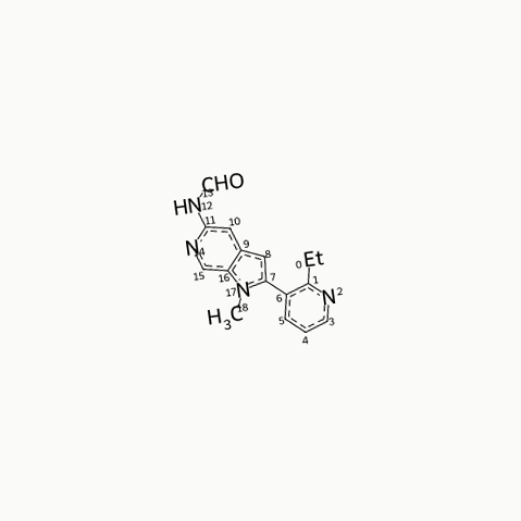 CCc1ncccc1-c1cc2cc(NC=O)ncc2n1C